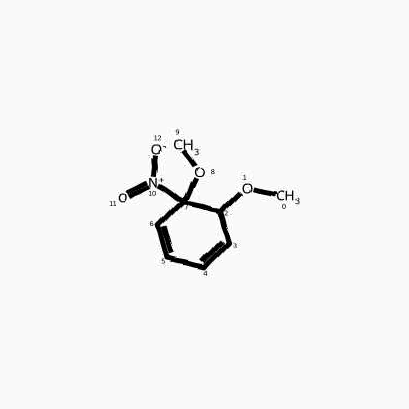 COC1C=CC=CC1(OC)[N+](=O)[O-]